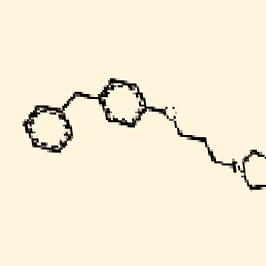 c1ccc(Cc2ccc(OCCCN3CCCC3)cc2)cc1